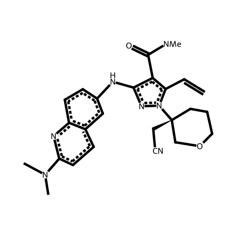 C=Cc1c(C(=O)NC)c(Nc2ccc3nc(N(C)C)ccc3c2)nn1[C@]1(CC#N)CCCOC1